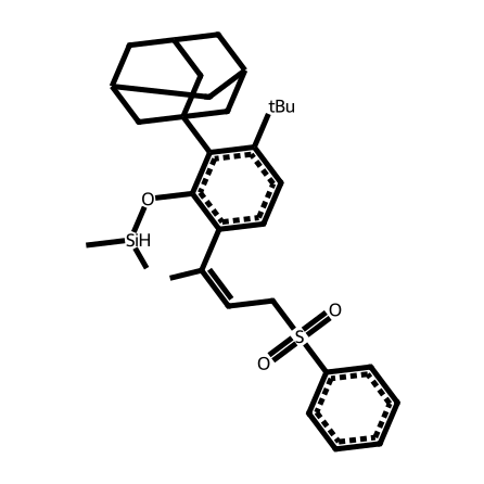 C/C(=C/CS(=O)(=O)c1ccccc1)c1ccc(C(C)(C)C)c(C23CC4CC(CC(C4)C2)C3)c1O[SiH](C)C